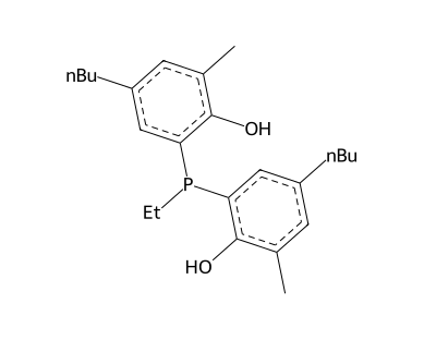 CCCCc1cc(C)c(O)c(P(CC)c2cc(CCCC)cc(C)c2O)c1